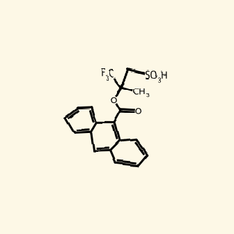 CC(CS(=O)(=O)O)(OC(=O)c1c2ccccc2cc2ccccc12)C(F)(F)F